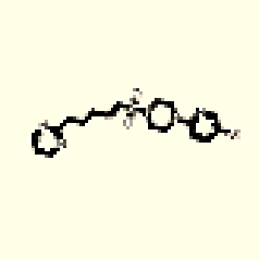 O=S(=O)(/C=C/CCCc1ncccn1)N1CCN(c2ccc(Br)cn2)CC1